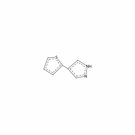 [c]1n[nH]cc1-c1cccs1